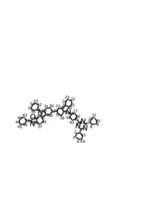 c1ccc(-c2nc(-c3ccccc3)nc(-c3ccc(-n4c5ccccc5c5cc(-c6ccc7c(c6)c6ccc8nc(-c9ccccc9)oc8c6n7-c6ccccc6)ccc54)cc3)n2)cc1